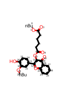 CCCCOC(=O)CCCCC(=O)Oc1c(-c2ccc(O)c(OCCCC)c2)oc2ccccc2c1=O